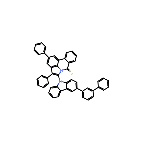 S=c1c2ccccc2c2cc(-c3ccccc3)cc3c(-c4ccccc4)c(-n4c5ccccc5c5cc(-c6cccc(-c7ccccc7)c6)ccc54)n1c32